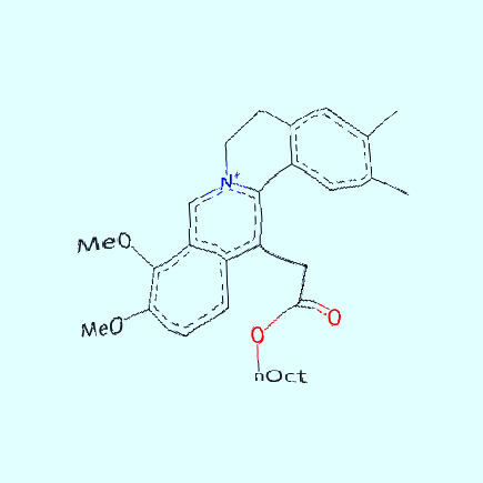 CCCCCCCCOC(=O)Cc1c2[n+](cc3c(OC)c(OC)ccc13)CCc1cc(C)c(C)cc1-2